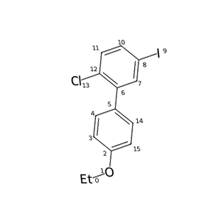 CCOc1ccc(-c2cc(I)ccc2Cl)cc1